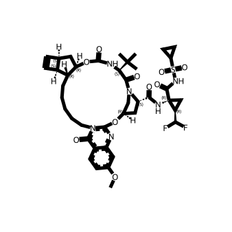 COc1ccc2c(=O)n3c(nc2c1)O[C@@H]1C[C@@H](C(=O)N[C@]2(C(=O)NS(=O)(=O)C4CC4)C[C@H]2C(F)F)N(C1)C(=O)[C@H](C(C)(C)C)NC(=O)O[C@@H]1C[C@@H]2C#C[C@@H]2[C@H]1CCCCC3